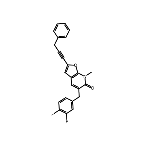 Cn1c(=O)c(Cc2ccc(F)c(F)c2)cc2cc(C#CCc3ccccc3)oc21